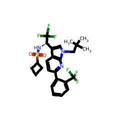 CC(C)(C)Cn1cc([C@H](NS(=O)(=O)C2CCC2)C(F)(F)F)c2ccc(-c3ccccc3C(F)(F)F)nc21